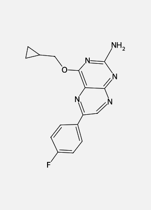 Nc1nc(OCC2CC2)c2nc(-c3ccc(F)cc3)cnc2n1